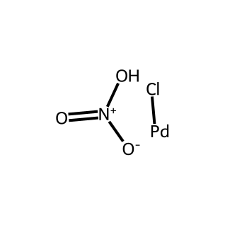 O=[N+]([O-])O.[Cl][Pd]